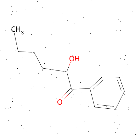 CCCCC(O)C(=O)c1ccccc1